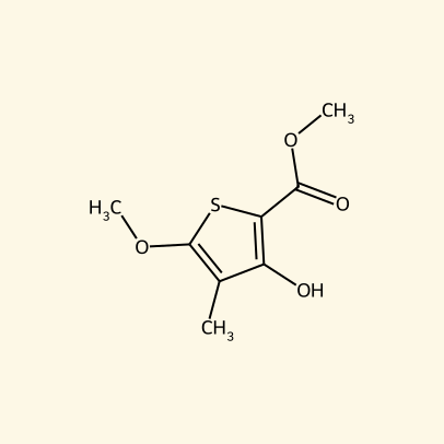 COC(=O)c1sc(OC)c(C)c1O